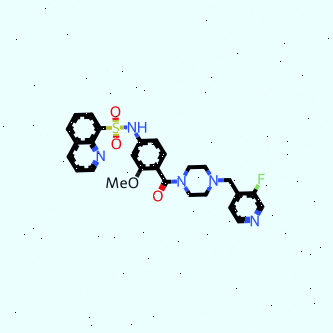 COc1cc(NS(=O)(=O)c2cccc3cccnc23)ccc1C(=O)N1CCN(Cc2ccncc2F)CC1